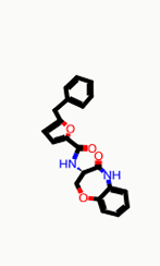 O=C(N[C@H]1COc2ccccc2NC1=O)c1ccc(Cc2ccccc2)o1